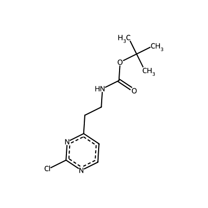 CC(C)(C)OC(=O)NCCc1ccnc(Cl)n1